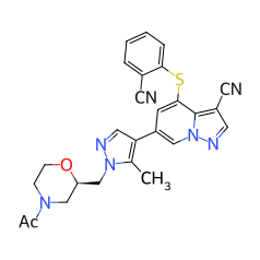 CC(=O)N1CCO[C@@H](Cn2ncc(-c3cc(Sc4ccccc4C#N)c4c(C#N)cnn4c3)c2C)C1